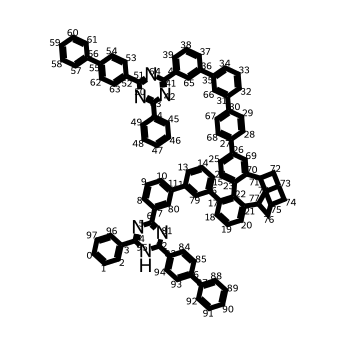 c1ccc(C2=NC(c3cccc(-c4cccc(-c5cccc6c5-c5ccc(-c7ccc(-c8cccc(-c9cccc(-c%10nc(-c%11ccccc%11)nc(-c%11ccc(-c%12ccccc%12)cc%11)n%10)c9)c8)cc7)cc5C5CC7CC8CC6C785)c4)c3)=NC(c3ccc(-c4ccccc4)cc3)N2)cc1